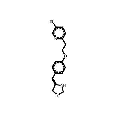 CCc1ccc(CCOc2ccc(/C=C3/CSCN3)cc2)nc1